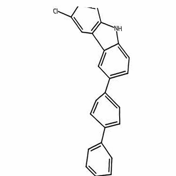 Clc1ccc2[nH]c3ccc(-c4ccc(-c5ccccc5)cc4)cc3c2c1